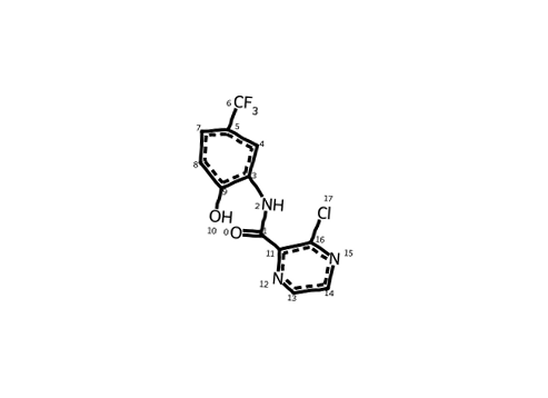 O=C(Nc1cc(C(F)(F)F)ccc1O)c1nccnc1Cl